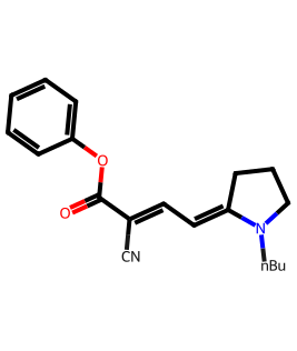 CCCCN1CCCC1=CC=C(C#N)C(=O)Oc1ccccc1